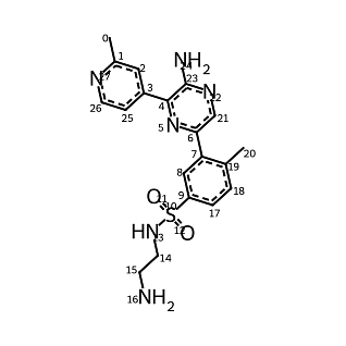 Cc1cc(-c2nc(-c3cc(S(=O)(=O)NCCN)ccc3C)cnc2N)ccn1